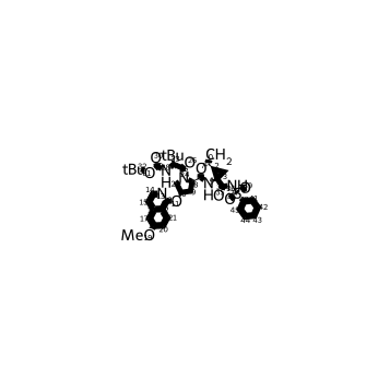 C=C[C@@H]1C[C@]1(NC(=O)[C@@H]1C[C@@H](Oc2nccc3cc(OC)ccc23)CN1C(=O)[C@@H](NC(=O)OC(C)(C)C)C(C)(C)C)C(=O)NS(=O)(=O)c1ccccc1